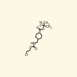 CC(C)(C)OC(=O)N1CCC(CNC(=O)OCCCl)CC1